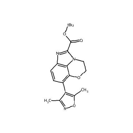 Cc1noc(C)c1-c1ccc2nc(C(=O)OC(C)(C)C)n3c2c1OCC3